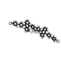 CC1(C)c2cc(-c3c4ccccc4c(-c4ccc(-c5ccc(Cl)cc5)cc4)c4ccccc34)ccc2-c2ccc(-c3c4ccccc4c(-c4ccc(-c5ccc(Cl)cc5)cc4)c4ccccc34)cc21